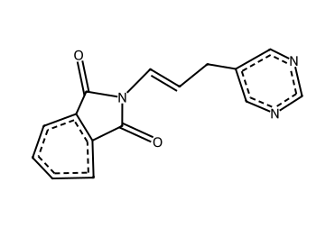 O=C1c2ccccc2C(=O)N1/C=C/Cc1cncnc1